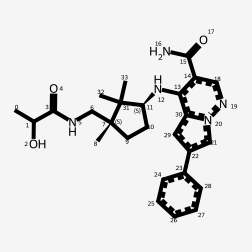 CC(O)C(=O)NC[C@@]1(C)CC[C@H](Nc2c(C(N)=O)cnn3cc(-c4ccccc4)cc23)C1(C)C